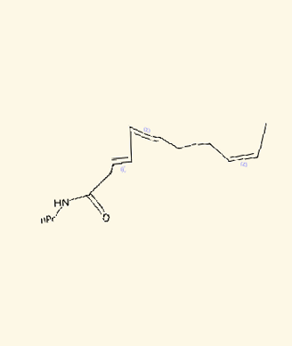 C/C=C\CC/C=C\C=C\C(=O)NCCC